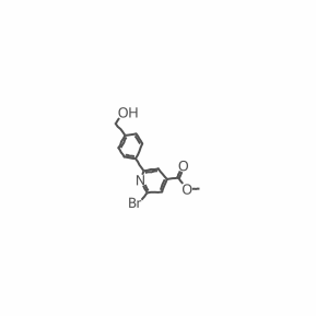 COC(=O)c1cc(Br)nc(-c2ccc(CO)cc2)c1